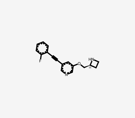 Fc1ccccc1C#Cc1cncc(OC[C@@H]2CCN2)c1